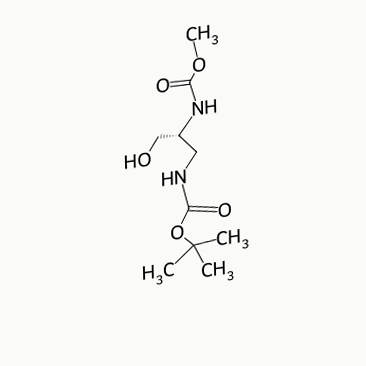 COC(=O)N[C@@H](CO)CNC(=O)OC(C)(C)C